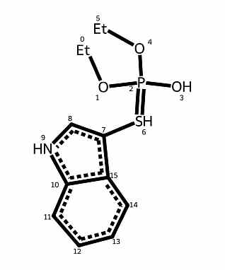 CCOP(O)(OCC)=[SH]c1c[nH]c2ccccc12